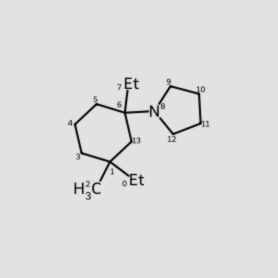 CCC1(C)CCCC(CC)(N2CCCC2)C1